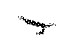 C=C(CO)CCOc1cc(-c2ccc(-c3ccc(C4CCC(CCCCC(F)(F)F)CC4)cc3)cc2)ccc1OCCOC